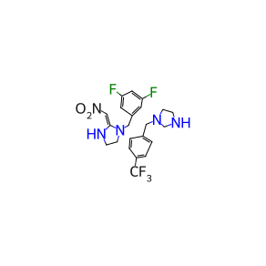 FC(F)(F)c1ccc(CN2CCNC2)cc1.O=[N+]([O-])C=C1NCCN1Cc1cc(F)cc(F)c1